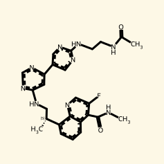 CNC(=O)c1c(F)cnc2c([C@H](C)CNc3cc(-c4cnc(NCCNC(C)=O)nc4)ncn3)cccc12